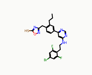 CCCc1cc(-c2cc(NCCc3c(F)cc(Br)cc3F)ncn2)ccc1Cc1noc(S)n1